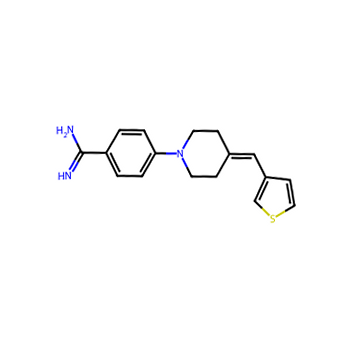 N=C(N)c1ccc(N2CCC(=Cc3ccsc3)CC2)cc1